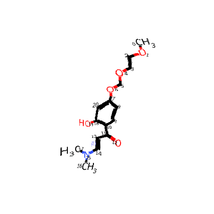 COCCOCOc1ccc(C(=O)/C=C/N(C)C)c(O)c1